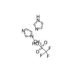 Cn1ccnc1.O=S(=O)(O)C(F)(F)F.c1c[nH]cn1